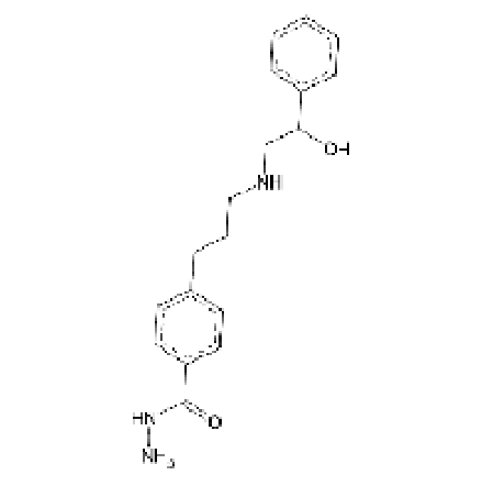 NNC(=O)c1ccc(CCCNCC(O)c2ccccc2)cc1